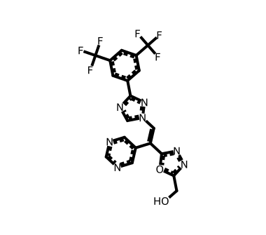 OCc1nnc(/C(=C/n2cnc(-c3cc(C(F)(F)F)cc(C(F)(F)F)c3)n2)c2cncnc2)o1